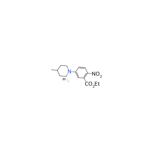 CCOC(=O)c1cc(N2CCC(C)C[C@H]2C)ccc1[N+](=O)[O-]